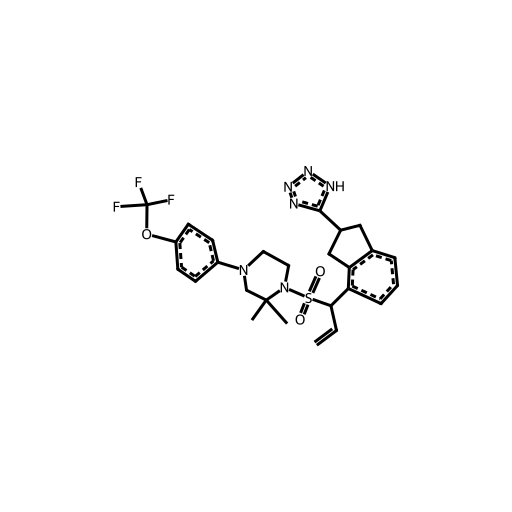 C=CC(c1cccc2c1CC(c1nnn[nH]1)C2)S(=O)(=O)N1CCN(c2ccc(OC(F)(F)F)cc2)CC1(C)C